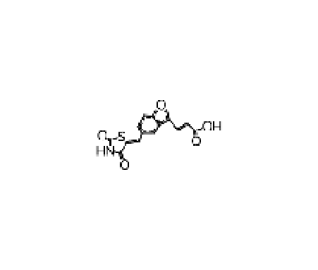 O=C(O)/C=C/c1coc2ccc(/C=C3\SC(=O)NC3=O)cc12